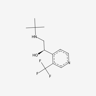 CC(C)(C)NC[C@H](O)c1ccncc1C(F)(F)F